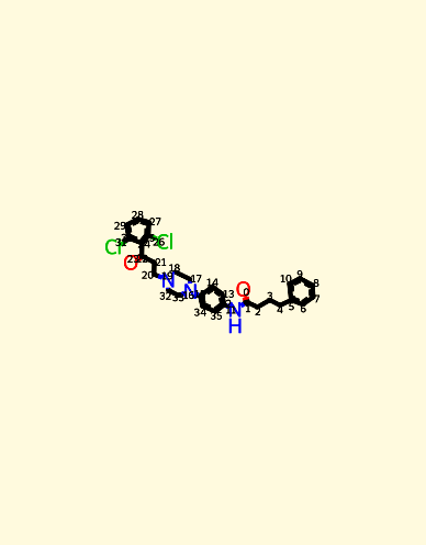 O=C(CCCc1ccccc1)Nc1ccc(N2CCN(CCC(=O)c3c(Cl)cccc3Cl)CC2)cc1